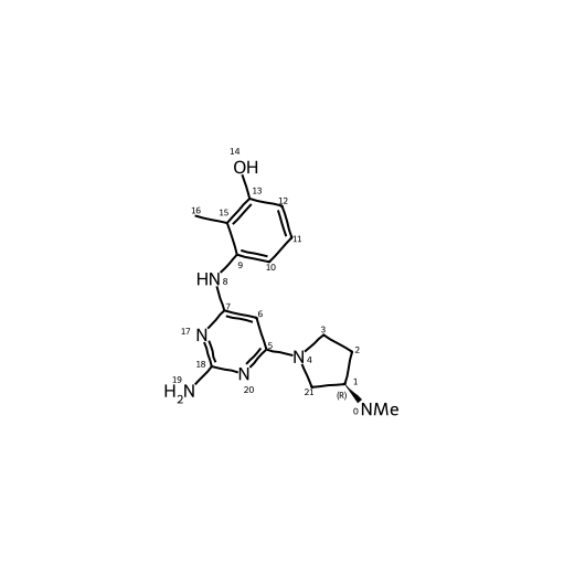 CN[C@@H]1CCN(c2cc(Nc3cccc(O)c3C)nc(N)n2)C1